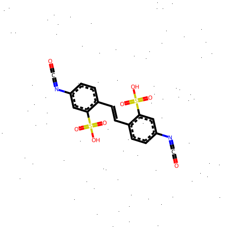 O=C=Nc1ccc(C=Cc2ccc(N=C=O)cc2S(=O)(=O)O)c(S(=O)(=O)O)c1